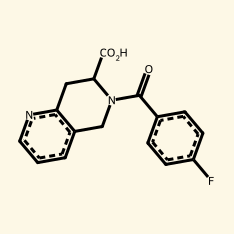 O=C(O)C1Cc2ncccc2CN1C(=O)c1ccc(F)cc1